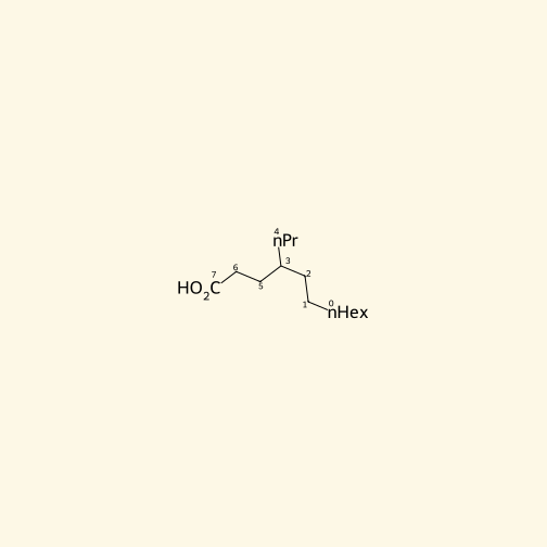 CCCCCCCCC(CCC)CCC(=O)O